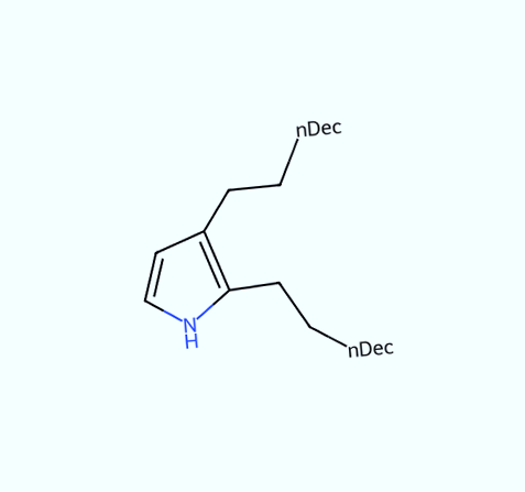 CCCCCCCCCCCCc1cc[nH]c1CCCCCCCCCCCC